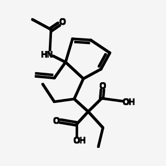 C=CC1(NC(C)=O)C=CC=CC1C(CC)C(CC)(C(=O)O)C(=O)O